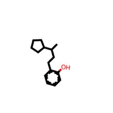 CC(CCc1ccccc1O)C1CCCC1